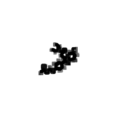 CCN(CC)C(=O)Cc1c(-c2ccc(OCOC(C)=O)cc2)nc2ccc(Cl)cn12